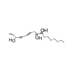 C=CC(O)C#CC#CC[C@@H](O)[C@H](O)CCCCCCC